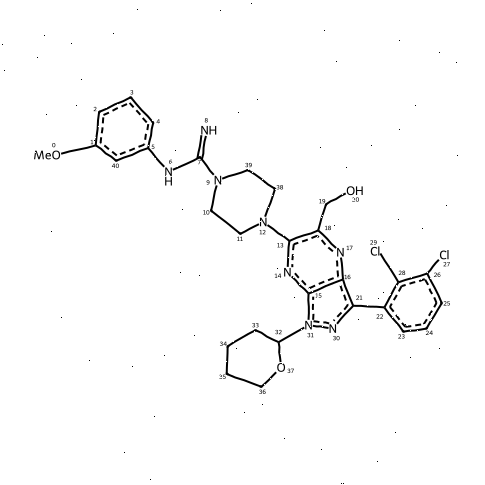 COc1cccc(NC(=N)N2CCN(c3nc4c(nc3CO)c(-c3cccc(Cl)c3Cl)nn4C3CCCCO3)CC2)c1